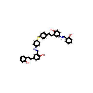 Oc1ccccc1/C=C/c1ccc(O)c(CNC2=CCC(SC3C=CC(CCc4cc(/N=C/c5ccccc5O)ccc4O)=CC3)C=C2)c1